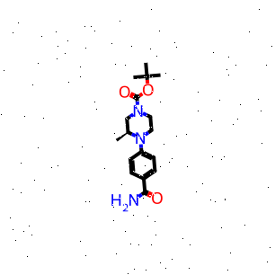 C[C@H]1CN(C(=O)OC(C)(C)C)CCN1c1ccc(C(N)=O)cc1